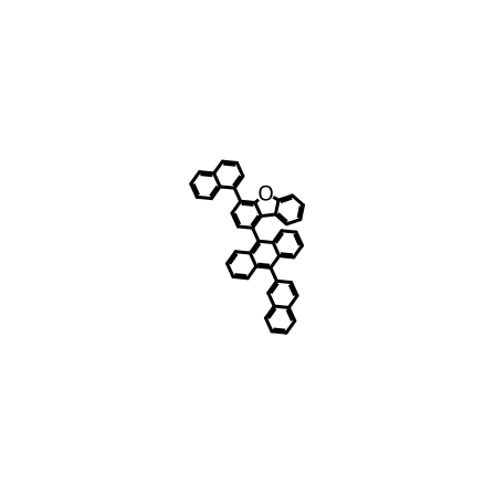 c1ccc2cc(-c3c4ccccc4c(-c4ccc(-c5cccc6ccccc56)c5oc6ccccc6c45)c4ccccc34)ccc2c1